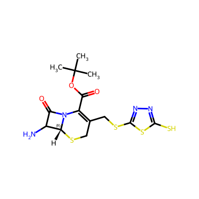 CC(C)(C)OC(=O)C1=C(CSc2nnc(S)s2)CS[C@@H]2C(N)C(=O)N12